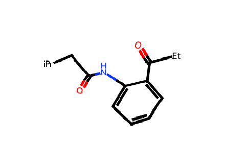 CCC(=O)c1ccccc1NC(=O)CC(C)C